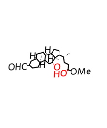 COC(=O)CC[C@@H](C)[C@H]1CC[C@H]2[C@@H]3CC[C@@H]4C[C@H](C=O)CC[C@]4(C)[C@H]3C[C@@H](O)[C@]12C